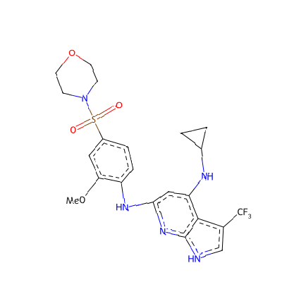 COc1cc(S(=O)(=O)N2CCOCC2)ccc1Nc1cc(NC2CC2)c2c(C(F)(F)F)c[nH]c2n1